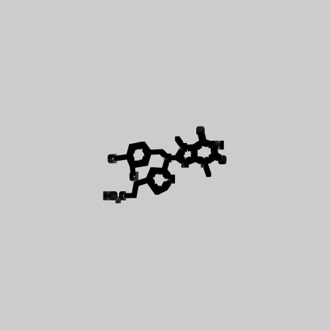 Cn1c(N(Cc2ccc(Cl)c(Cl)c2)c2cc(CCC(=O)O)ccn2)nc2c1c(=O)[nH]c(=O)n2C